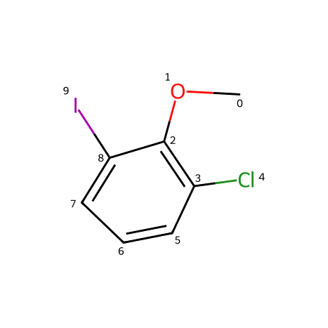 COc1c(Cl)cccc1I